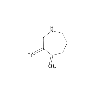 C=C1CCCNCC1=C